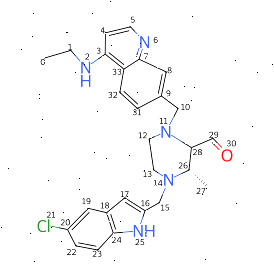 CCNc1ccnc2cc(CN3CCN(Cc4cc5cc(Cl)ccc5[nH]4)[C@@H](C)C3C=O)ccc12